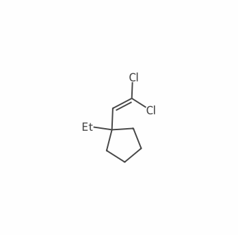 CCC1(C=C(Cl)Cl)CCCC1